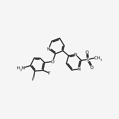 CS(=O)(=O)c1nccc(-c2cccnc2Oc2ccc(N)c(F)c2F)n1